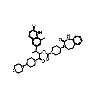 Cc1cc(C(C)C(OC(=O)N2CCC(N3CCc4ccccc4NC3=O)CC2)C(=O)N2CCC(N3CCOCC3)CC2)cc2ccc(=O)[nH]c12